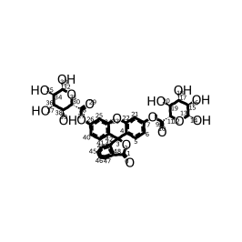 O=C1OC2(c3ccc(OC(=O)[C@H]4O[C@@H](O)[C@H](O)[C@@H](O)[C@@H]4O)cc3Oc3cc(OC(=O)[C@H]4O[C@@H](O)[C@H](O)[C@@H](O)[C@@H]4O)ccc32)c2ccccc21